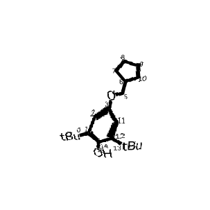 CC(C)(C)c1cc(OCC2CCCC2)cc(C(C)(C)C)c1O